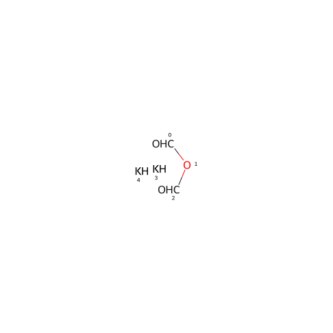 O=COC=O.[KH].[KH]